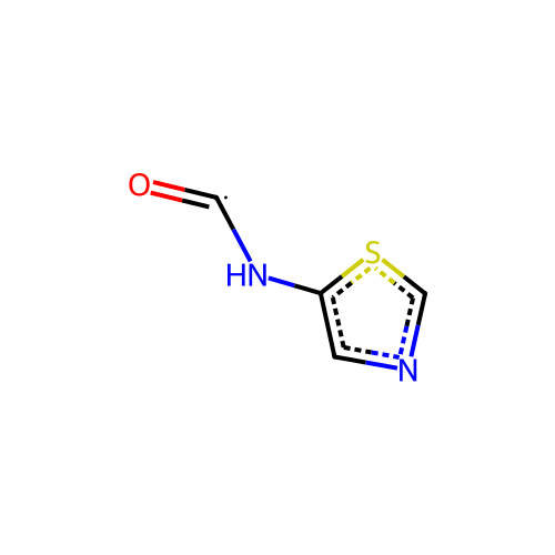 O=[C]Nc1cncs1